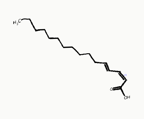 CCCCCCCCCCCC=C/C=C\C(=O)O